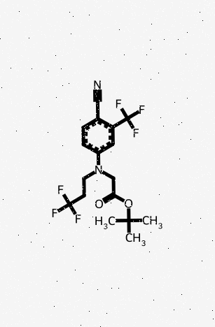 CC(C)(C)OC(=O)CN(CCC(F)(F)F)c1ccc(C#N)c(C(F)(F)F)c1